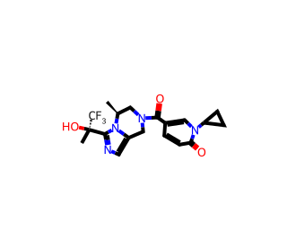 C[C@H]1CN(C(=O)c2ccc(=O)n(C3CC3)c2)Cc2cnc([C@@](C)(O)C(F)(F)F)n21